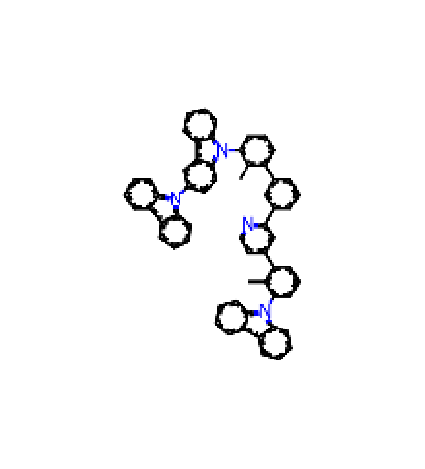 Cc1c(-c2ccnc(-c3cccc(-c4cccc(-n5c6ccccc6c6cc(-n7c8ccccc8c8ccccc87)ccc65)c4C)c3)c2)cccc1-n1c2ccccc2c2ccccc21